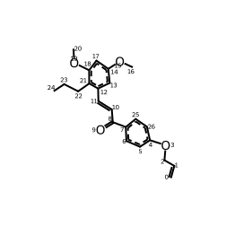 C=CCOc1ccc(C(=O)C=Cc2cc(OC)cc(OC)c2CCC)cc1